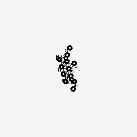 Cc1c2c(c(C)c3c1B1c4ccccc4N(c4ccccc4)c4c1c(cc1c4C(C)(C)c4cc(Oc5ccccc5)ccc4-1)N3c1ccccc1)Oc1cc3c(c4c1B2c1ccccc1N4c1ccccc1)C(C)(C)c1cc(Oc2ccccc2)ccc1-3